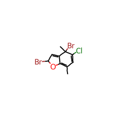 CC1=C2OC(Br)C=C2C(C)(Br)C(Cl)=C1